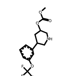 COC(=O)OC1CNCC(c2cccc(OC(F)(F)F)c2)C1